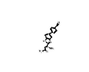 N#Cc1ccc(-c2ccc3[nH]c([C@@H](N)CC(N)=O)nc3c2)cc1